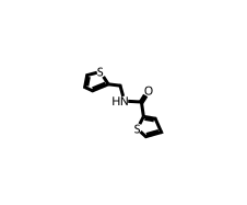 O=C(NCc1cccs1)c1cccs1